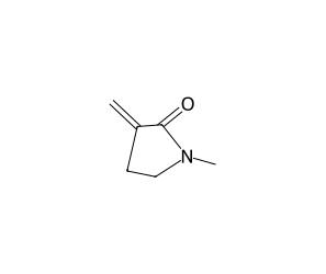 C=C1CCN(C)C1=O